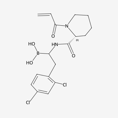 C=CC(=O)N1CCCC[C@@H]1C(=O)NC(Cc1ccc(Cl)cc1Cl)B(O)O